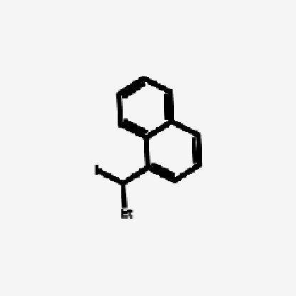 [CH2]CC(I)c1cccc2ccccc12